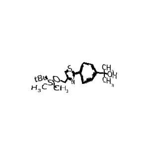 CC(C)(O)c1ccc(-c2nc(CO[Si](C)(C)C(C)(C)C)cs2)cc1